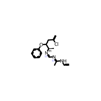 C=CN/C(C)=N/C=N\[C@H](C)C(CC(=C)Cl)Oc1ccccc1